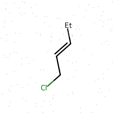 CC/C=C/CCl